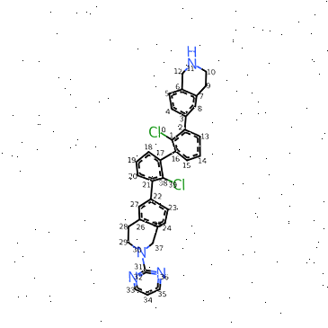 Clc1c(-c2ccc3c(c2)CCNC3)cccc1-c1cccc(-c2ccc3c(c2)CCN(c2ncccn2)C3)c1Cl